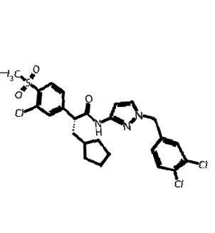 CS(=O)(=O)c1ccc([C@@H](CC2CCCC2)C(=O)Nc2ccn(Cc3ccc(Cl)c(Cl)c3)n2)cc1Cl